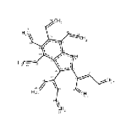 C=C/C=C(\C=C)c1[nH]c2c(C=C)c(C=C)c(C=C)c(C=C)c2c1/C(C=C)=C/C=C